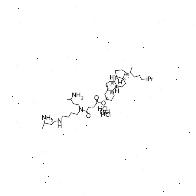 CC(C)CCCC(C)[C@H]1CC[C@H]2[C@@H]3CC=C4C[C@@H](OC(=O)CCC(=O)N(CCCCNCCC(C)N)CCC(C)N)CC[C@]4(C)[C@H]3CC[C@]12C.Cl.Cl.Cl